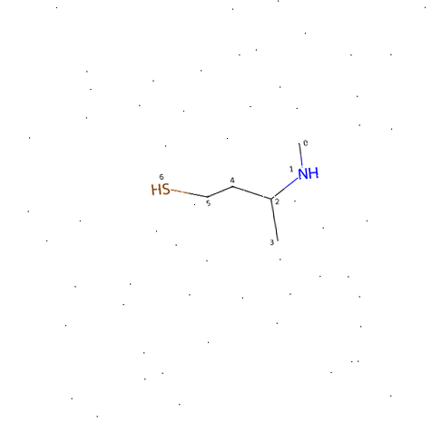 CNC(C)CCS